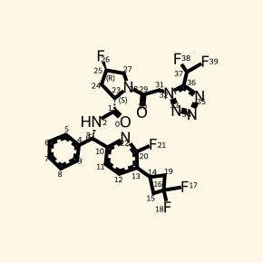 O=C(N[C@@H](c1ccccc1)c1ccc(C2CC(F)(F)C2)c(F)n1)[C@@H]1C[C@@H](F)CN1C(=O)Cn1nnnc1C(F)F